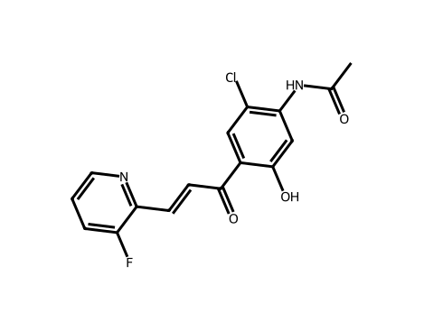 CC(=O)Nc1cc(O)c(C(=O)C=Cc2ncccc2F)cc1Cl